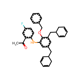 CC(=O)c1cc(F)ccc1Pc1cc(CC2C=CC=CC2)cc(CC2C=CC=CC2)c1OCc1ccccc1